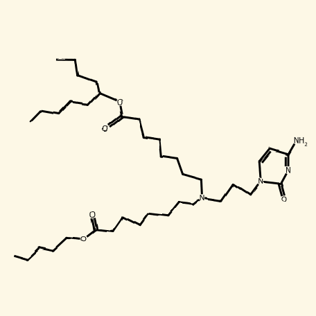 CCCCCOC(=O)CCCCCCCN(CCCCCCCC(=O)OC(CCCC)CCCCC)CCCn1ccc(N)nc1=O